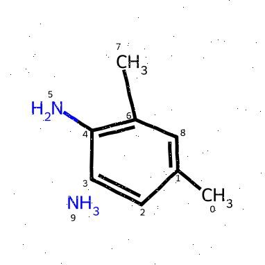 Cc1ccc(N)c(C)c1.N